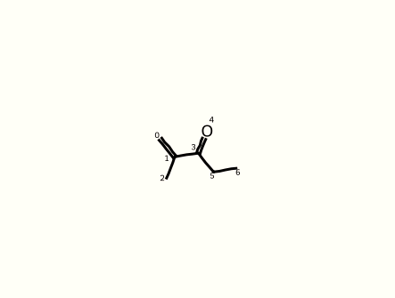 C=C(C)C(=O)CC